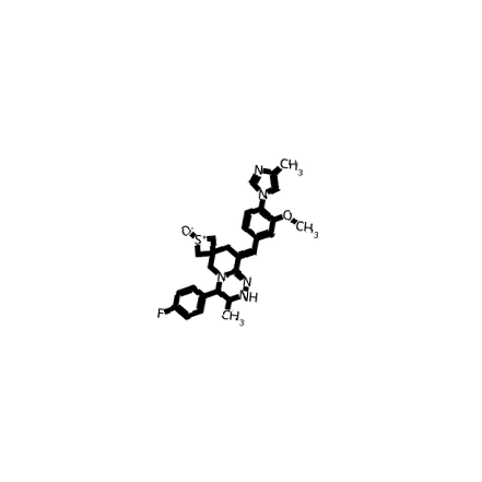 COc1cc(/C=C2\CC3(CN4C2=NNC(C)C4c2ccc(F)cc2)C[S+]([O-])C3)ccc1-n1cnc(C)c1